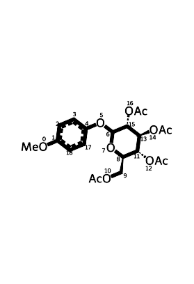 COc1ccc(OC2O[C@H](COC(C)=O)[C@@H](OC(C)=O)[C@H](OC(C)=O)[C@H]2OC(C)=O)cc1